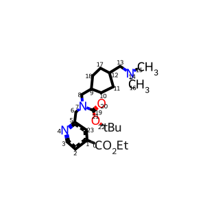 CCOC(=O)c1ccnc(CN(CC2CCC(CN(C)C)CC2)C(=O)OC(C)(C)C)c1